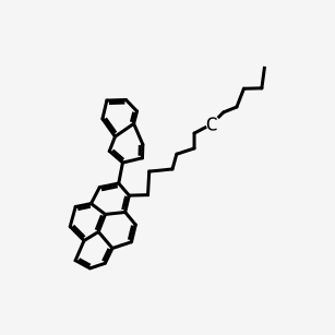 CCCCCCCCCCCCc1c(-c2ccc3ccccc3c2)cc2ccc3cccc4ccc1c2c34